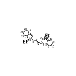 CCN1C(=CC=Cc2cc3ccccc3[n+](CC)c2)Sc2ccccc21